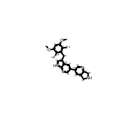 COc1cc(OC)c(F)c(Cc2c[nH]c3ncc(-c4cnc5c(c4)CNC5)cc23)c1F